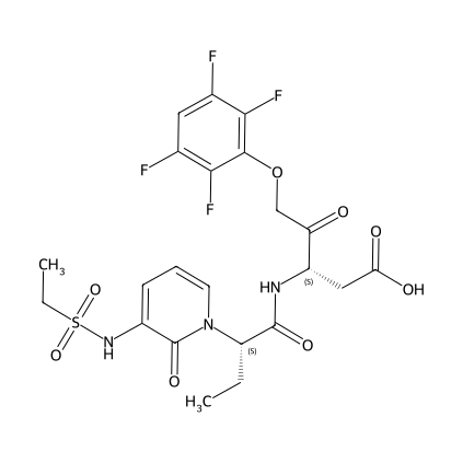 CC[C@@H](C(=O)N[C@@H](CC(=O)O)C(=O)COc1c(F)c(F)cc(F)c1F)n1cccc(NS(=O)(=O)CC)c1=O